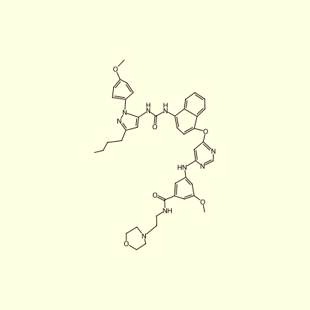 CCCCc1cc(NC(=O)Nc2ccc(Oc3cc(Nc4cc(OC)cc(C(=O)NCCN5CCOCC5)c4)ncn3)c3ccccc23)n(-c2ccc(OC)cc2)n1